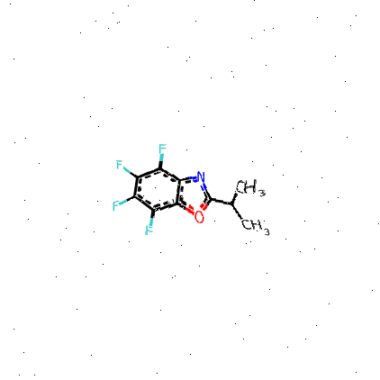 CC(C)c1nc2c(F)c(F)c(F)c(F)c2o1